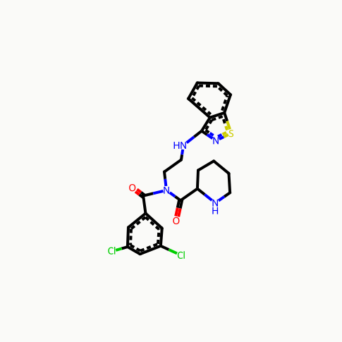 O=C(c1cc(Cl)cc(Cl)c1)N(CCNc1nsc2ccccc12)C(=O)C1CCCCN1